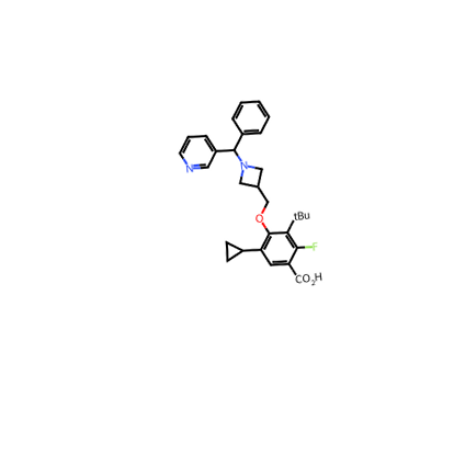 CC(C)(C)c1c(F)c(C(=O)O)cc(C2CC2)c1OCC1CN(C(c2ccccc2)c2cccnc2)C1